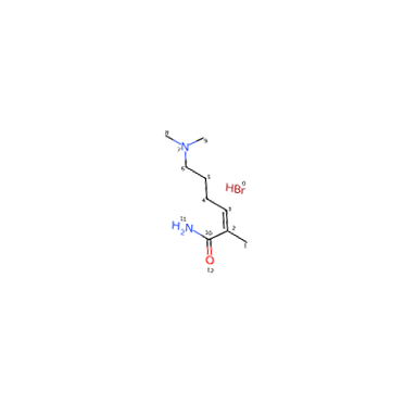 Br.CC(=CCCCN(C)C)C(N)=O